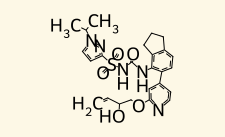 C=CC(O)COc1cc(-c2ccc3c(c2NC(=O)NS(=O)(=O)c2ccn(C(C)C)n2)CCC3)ccn1